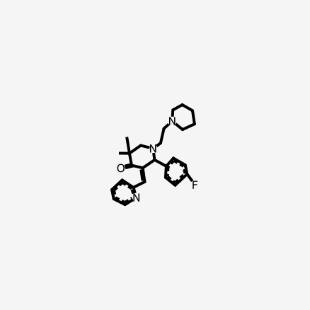 CC1(C)CN(CCN2CCCCC2)C(c2ccc(F)cc2)C(=Cc2ccccn2)C1=O